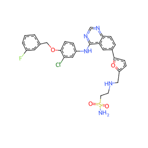 NS(=O)(=O)CCNCc1ccc(-c2ccc3ncnc(Nc4ccc(OCc5cccc(F)c5)c(Cl)c4)c3c2)o1